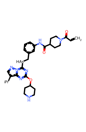 C=CC(=O)N1CCC(C(=O)Nc2cccc(C[AsH]c3nc(OC4CCNCC4)nc4c(C(C)C)cnn34)c2)CC1